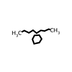 C1CCCCC1.CCCCCCCCC